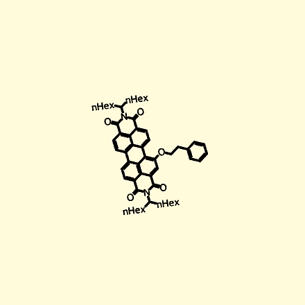 CCCCCCC(CCCCCC)N1C(=O)c2ccc3c4ccc5c6c(cc(OCCc7ccccc7)c(c7ccc(c2c37)C1=O)c64)C(=O)N(C(CCCCCC)CCCCCC)C5=O